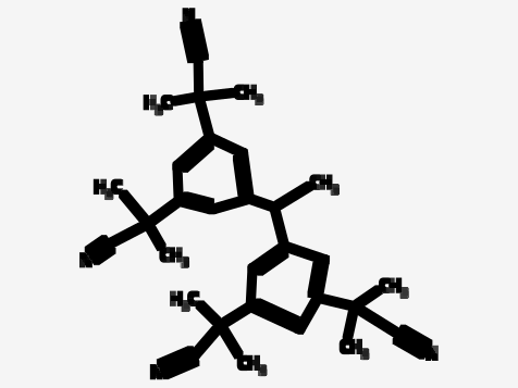 CC(c1cc(C(C)(C)C#N)cc(C(C)(C)C#N)c1)c1cc(C(C)(C)C#N)cc(C(C)(C)C#N)c1